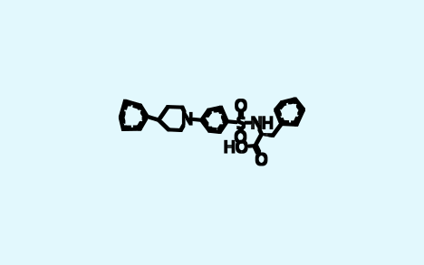 O=C(O)[C@H](Cc1ccccc1)NS(=O)(=O)c1ccc(N2CCC(c3ccccc3)CC2)cc1